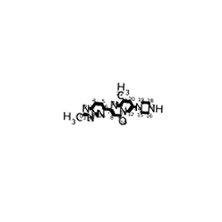 Cc1nc2ccc(-c3cc(=O)n4cc(N5CCNCC5)cc(C)c4n3)nn2n1